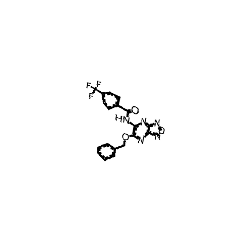 O=C(Nc1nc2nonc2nc1OCc1ccccc1)c1ccc(C(F)(F)F)cc1